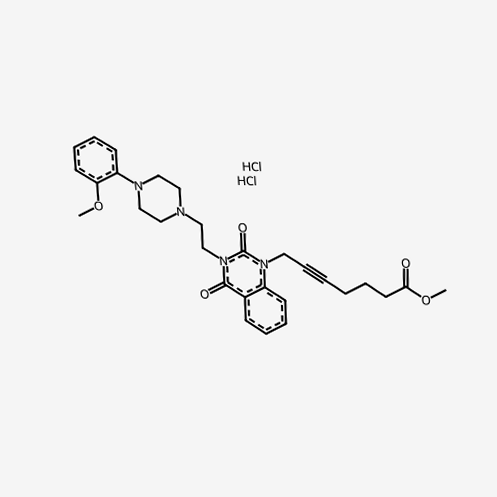 COC(=O)CCCC#CCn1c(=O)n(CCN2CCN(c3ccccc3OC)CC2)c(=O)c2ccccc21.Cl.Cl